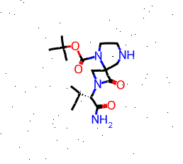 CC(C)[C@@H](C(N)=O)N1CC2(CNCCN2C(=O)OC(C)(C)C)C1=O